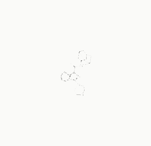 O=C(NC12CC3CC(CC(C3)C1)C2)c1nc(N2CCOCC2)n2ccccc12